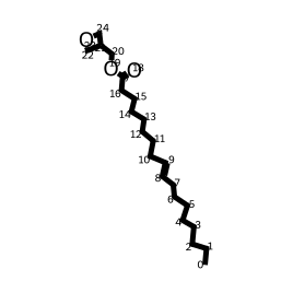 CCCCCCCCC=CCCCCCCCC(=O)OCC1COC1